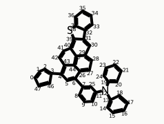 c1ccc(-c2cc(-c3cccc(N(c4ccccc4)c4ccccc4)c3)c3ccc4cc5c6ccccc6sc5c5ccc2c3c45)cc1